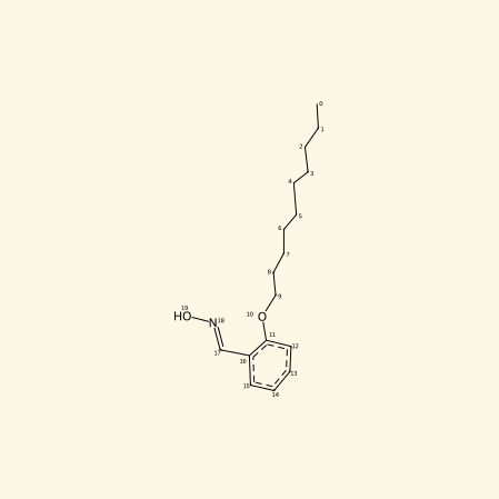 CCCCCCCCCCOc1ccccc1C=NO